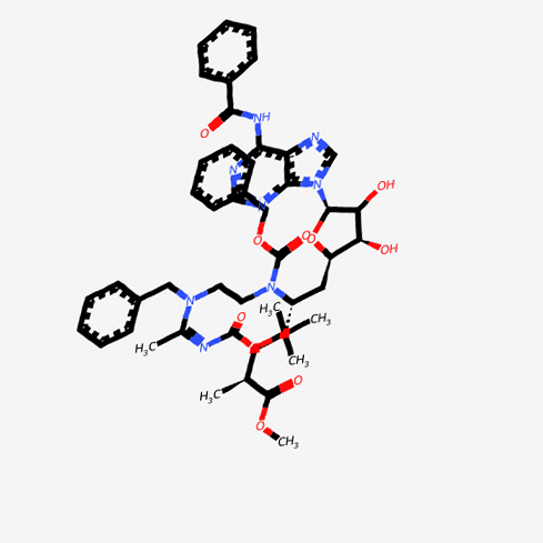 COC(=O)[C@@H](C)CC[C@@H](C[C@H]1O[C@@H](n2cnc3c(NC(=O)c4ccccc4)ncnc32)C(O)[C@H]1O)N(CCN(Cc1ccccc1)/C(C)=N\C(=O)OC(C)(C)C)C(=O)OCc1ccccc1